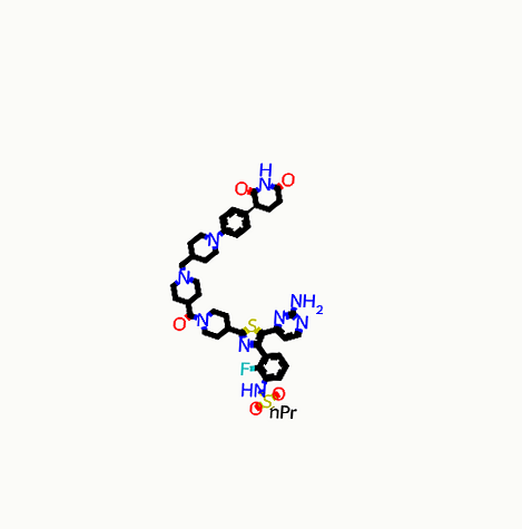 CCCS(=O)(=O)Nc1cccc(-c2nc(C3CCN(C(=O)C4CCN(CC5CCN(c6ccc([C@@H]7CCC(=O)NC7=O)cc6)CC5)CC4)CC3)sc2-c2ccnc(N)n2)c1F